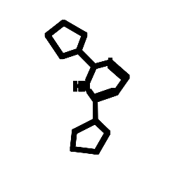 [C]1=CC=C(C2CCCC2)NC1C1CCCC1